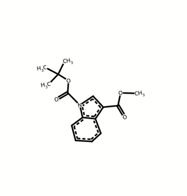 COC(=O)c1cn(C(=O)OC(C)(C)C)c2ccccc12